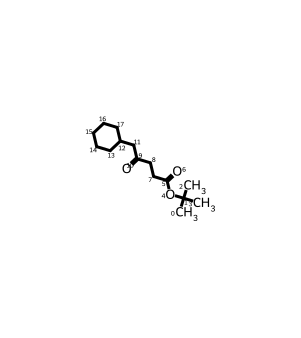 CC(C)(C)OC(=O)CCC(=O)CC1CCCCC1